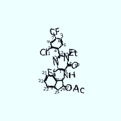 CCc1nc(-c2ccc(C(F)(F)F)cc2Cl)n(CC)c(=O)c1NC1c2ccccc2CC1OC(C)=O